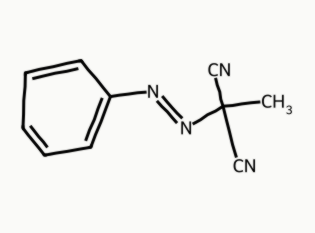 CC(C#N)(C#N)N=Nc1ccccc1